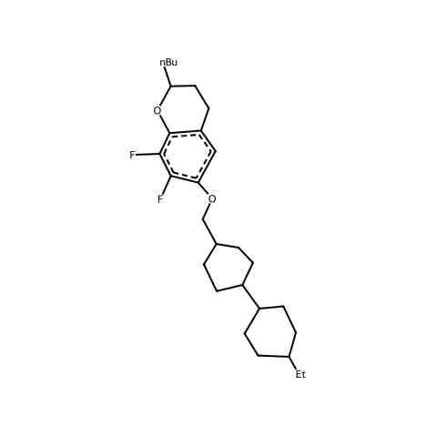 CCCCC1CCc2cc(OCC3CCC(C4CCC(CC)CC4)CC3)c(F)c(F)c2O1